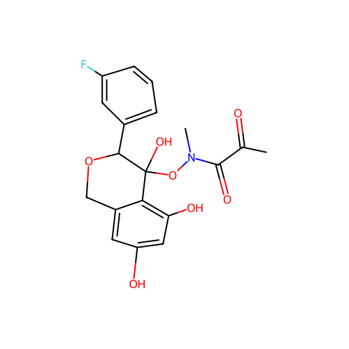 CC(=O)C(=O)N(C)OC1(O)c2c(O)cc(O)cc2COC1c1cccc(F)c1